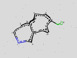 Clc1c[c]c2ccncc2c1